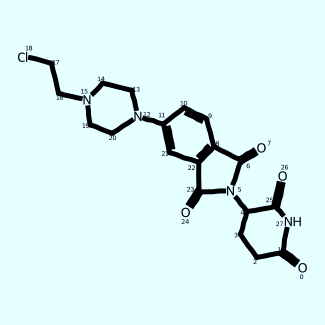 O=C1CCC(N2C(=O)c3ccc(N4CCN(CCCl)CC4)cc3C2=O)C(=O)N1